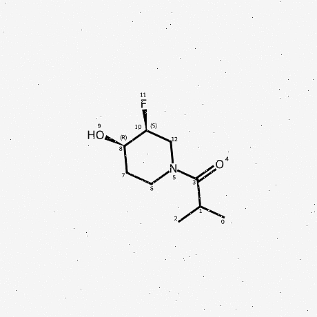 CC(C)C(=O)N1CC[C@@H](O)[C@@H](F)C1